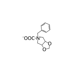 O=C([O-])[N+]1(Cc2ccccc2)CC2OCOC2C1